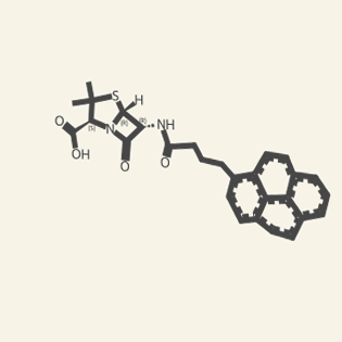 CC1(C)S[C@@H]2[C@H](NC(=O)CCCc3ccc4ccc5cccc6ccc3c4c56)C(=O)N2[C@H]1C(=O)O